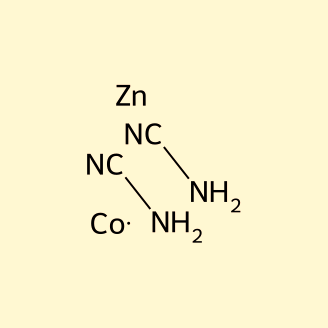 N#CN.N#CN.[Co].[Zn]